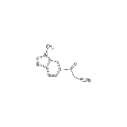 Cn1cnc2ccc(C(=O)CC#N)cc21